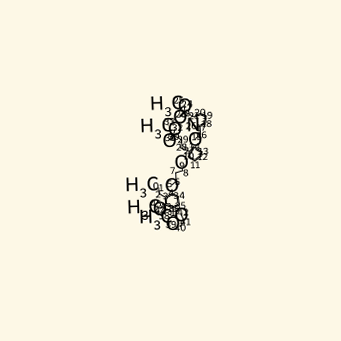 CCCc1c(OCCCOc2cccc(OCc3cccc(C(=O)OC)n3)c2CCC(=O)OC)ccc(C2(C)OCCO2)c1OC